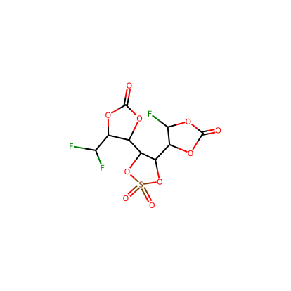 O=C1OC(F)C(C2OS(=O)(=O)OC2C2OC(=O)OC2C(F)F)O1